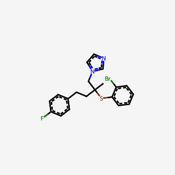 CC(CCc1ccc(F)cc1)(Cn1ccnc1)Sc1ccccc1Br